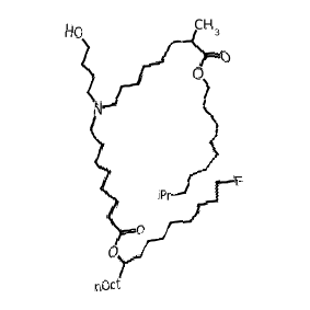 CCCCCCCCC(CCCCCCCCF)OC(=O)CCCCCCCN(CCCCO)CCCCCCC(C)C(=O)OCCCCCCCCC(C)C